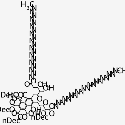 CCCCCCCCCCOC(=O)c1c(C(=O)OCCCCCCCCCC)c(C(=O)OCCCCCCCCCC)c2c(C(=O)O)c(CC(=O)C(CO)C(C)CC(=O)ON=NN=NN=NN=NN=NN=NN=NN=NN=NN=NC)c(CCC(=O)C(O)C(=O)ON=NN=NN=NN=NN=NN=NN=NN=NN=NN=NC)c(O)c2c1C(=O)OCCCCCCCCCC